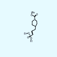 CCOP(=O)(C=CCC1CCN(C(=O)OC(C)(C)C)CC1)OCC